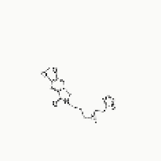 CN(CCCN1Cc2cc3c(cc2C1=O)OCO3)CCc1cccs1